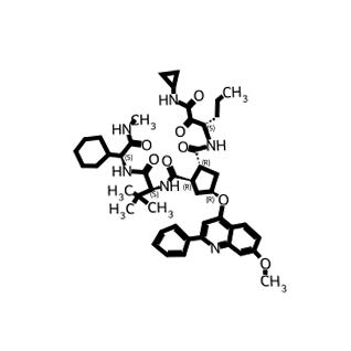 CCC[C@H](NC(=O)[C@@H]1C[C@@H](Oc2cc(-c3ccccc3)nc3cc(OC)ccc23)C[C@H]1C(=O)N[C@H](C(=O)N[C@H](C(=O)NC)C1CCCCC1)C(C)(C)C)C(=O)C(=O)NC1CC1